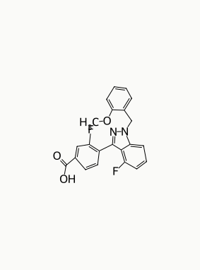 COc1ccccc1Cn1nc(-c2ccc(C(=O)O)cc2F)c2c(F)cccc21